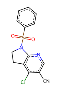 N#Cc1cnc2c(c1Cl)CCN2S(=O)(=O)c1ccccc1